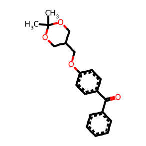 CC1(C)OCC(COc2ccc(C(=O)c3ccccc3)cc2)CO1